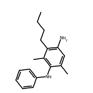 CCCCc1c(N)cc(C)c(Nc2ccccc2)c1C